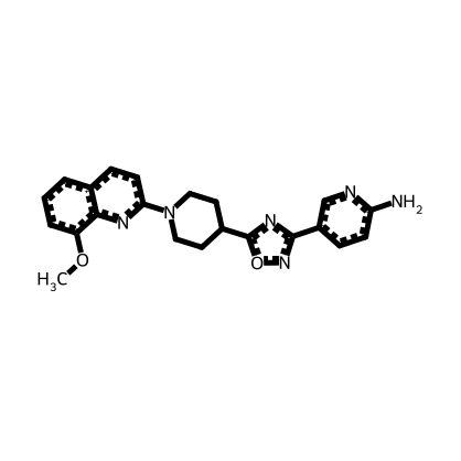 COc1cccc2ccc(N3CCC(c4nc(-c5ccc(N)nc5)no4)CC3)nc12